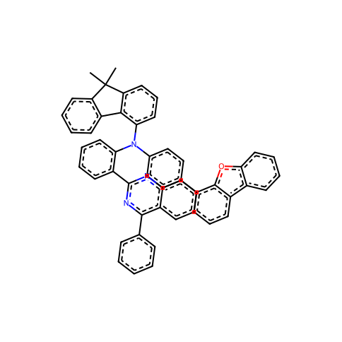 CC1(C)c2ccccc2-c2c(N(c3ccc(-c4cccc5c4oc4ccccc45)cc3)c3ccccc3-c3nc(-c4ccccc4)c4ccccc4n3)cccc21